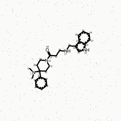 CN(C)C1(c2ccccc2)CCN(C(=O)CCNCc2c[nH]c3ccccc23)CC1